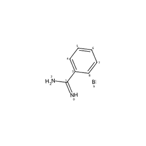 N=C(N)c1ccccc1.[B]